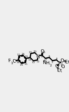 CCOP(=O)(CCC[C@H](N)C(=O)N1CCC(c2ccc(C(F)(F)F)cc2)CC1)OCC